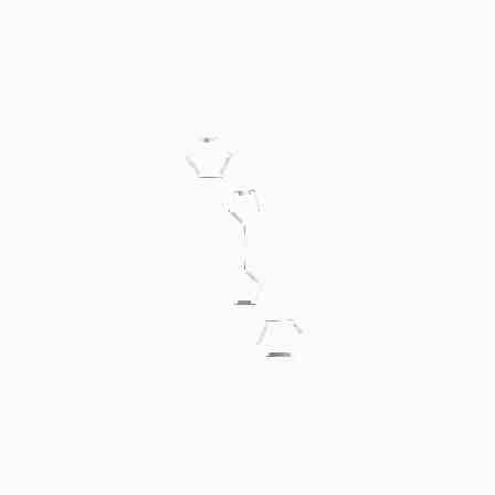 C1=[C]([Hf+2][C]2=CC(c3ccccc3)=CC2)CC=C1c1ccccc1.[Cl-].[Cl-]